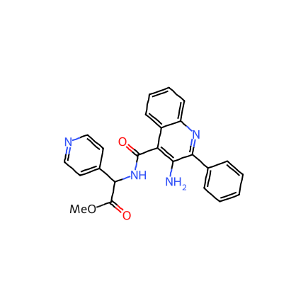 COC(=O)C(NC(=O)c1c(N)c(-c2ccccc2)nc2ccccc12)c1ccncc1